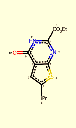 CCOC(=O)c1nc2sc(C(C)C)cc2c(=O)[nH]1